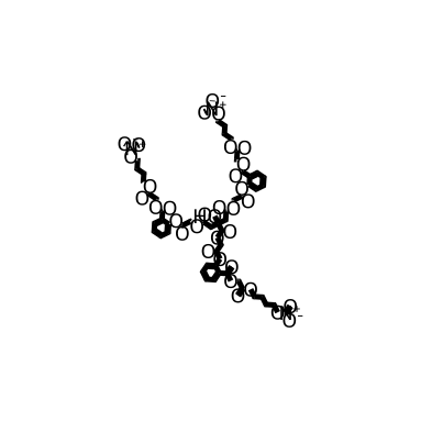 O=C(COC(=O)c1ccccc1OC(=O)COC(=O)CC(O)(CC(=O)OCC(=O)Oc1ccccc1C(=O)OCC(=O)OCCCCO[N+](=O)[O-])C(=O)OCC(=O)Oc1ccccc1C(=O)OCC(=O)OCCCCO[N+](=O)[O-])OCCCCO[N+](=O)[O-]